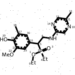 CCOP(=O)(CC)C(CNc1cnc(C)cn1)c1cc(C)c(O)c(OC)c1